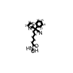 N#CC(CCCCCC(=O)NO)(c1ccccc1)c1nccs1